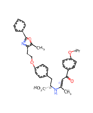 C/C(=C\C(=O)c1ccc(OC(C)C)cc1)N[C@@H](Cc1ccc(OCCc2nc(-c3ccccc3)oc2C)cc1)C(=O)O